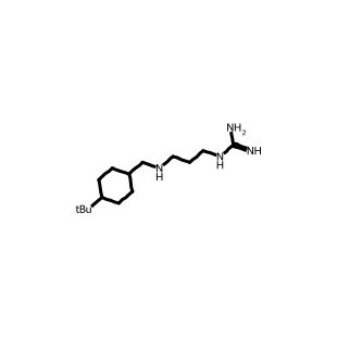 CC(C)(C)C1CCC(CNCCCNC(=N)N)CC1